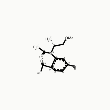 COC[C@@H](C)N(C(=O)C(F)(F)F)c1cc(Br)ccc1C(=O)Cl